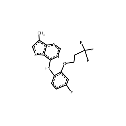 Cc1csc2c(Nc3ccc(F)cc3OCCC(F)(F)F)ncnc12